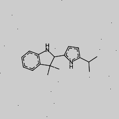 CC(C)c1ccc(C2Nc3ccccc3C2(C)C)[nH]1